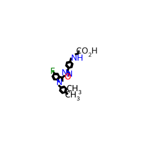 Cc1ccc(Cn2cc(-c3nc(-c4ccc(CNCCC(=O)O)cc4)no3)c3cc(F)ccc32)cc1C